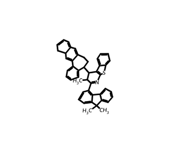 CC1C(c2cccc3c2-c2ccccc2C3(C)C)=Nc2sc3ccccc3c2C1C1CCC2=CC3=CC=CCC3C=C2c2ccccc21